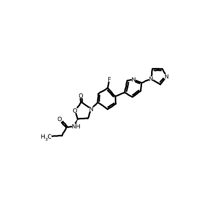 CCC(=O)N[C@@H]1CN(c2ccc(-c3ccc(-n4ccnc4)nc3)c(F)c2)C(=O)O1